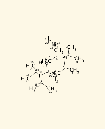 CC(C)P(C(C)C)C(C)C.CC(C)P(C(C)C)C(C)C.[I-].[I-].[Ni+2]